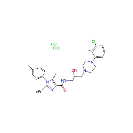 CCCc1nc(C(=O)NCC(O)CN2CCN(c3cccc(Cl)c3C)CC2)c(C)n1-c1ccc(C)cc1.Cl.Cl